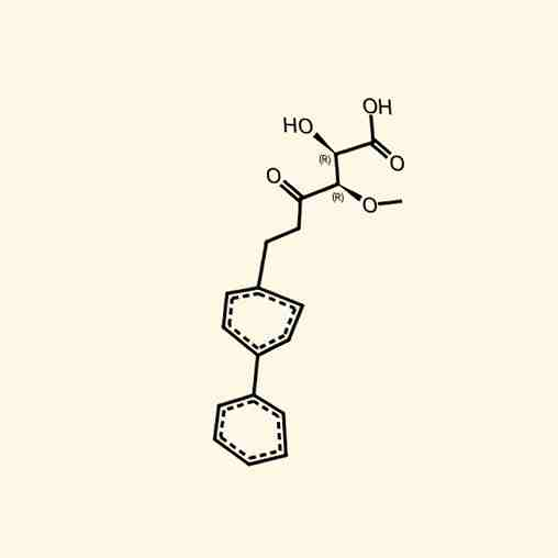 CO[C@@H](C(=O)CCc1ccc(-c2ccccc2)cc1)[C@@H](O)C(=O)O